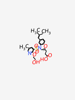 CCC(=Cc1ccc2c(c1)N(S(=O)(=O)c1cc(C)cnc1OCCO)C[C@H](CCC(=O)O)O2)CC